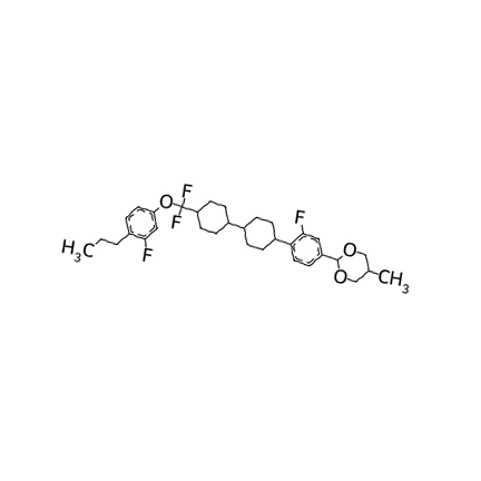 CCCc1ccc(OC(F)(F)C2CCC(C3CCC(c4ccc(C5OCC(C)CO5)cc4F)CC3)CC2)cc1F